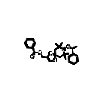 CC(ON1C(C)(C)CC2(CC1(C)C)OCC(COC(=O)c1ccccc1)O2)c1ccccc1